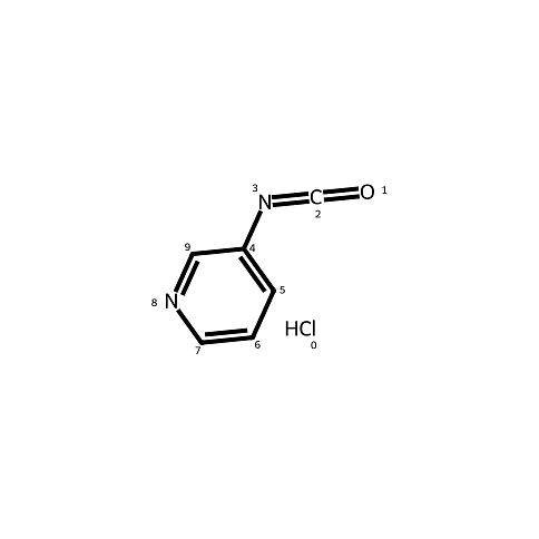 Cl.O=C=Nc1cccnc1